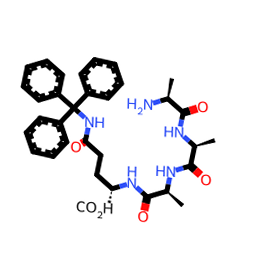 C[C@H](N)C(=O)N[C@@H](C)C(=O)N[C@@H](C)C(=O)N[C@@H](CCC(=O)NC(c1ccccc1)(c1ccccc1)c1ccccc1)C(=O)O